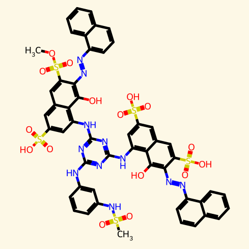 COS(=O)(=O)c1cc2cc(S(=O)(=O)O)cc(Nc3nc(Nc4cccc(NS(C)(=O)=O)c4)nc(Nc4cc(S(=O)(=O)O)cc5cc(S(=O)(=O)O)c(/N=N/c6cccc7ccccc67)c(O)c45)n3)c2c(O)c1/N=N/c1cccc2ccccc12